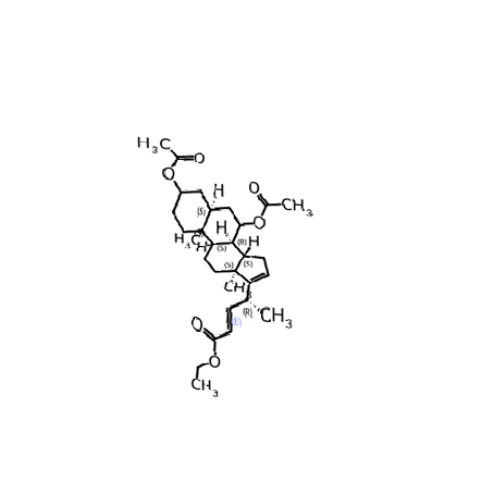 CCOC(=O)/C=C/[C@@H](C)C1=CC[C@H]2[C@@H]3C(OC(C)=O)C[C@@H]4CC(OC(C)=O)CC[C@]4(C)[C@H]3CC[C@]12C